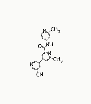 Cc1cc(NC(=O)c2cc(-c3cncc(C#N)c3)cc(C)n2)ccn1